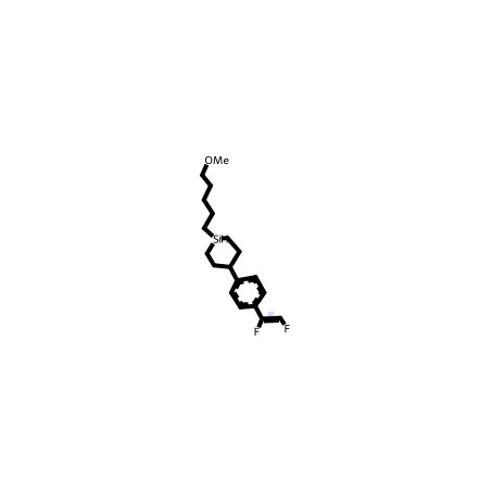 COCCCCC[SiH]1CCC(c2ccc(/C(F)=C/F)cc2)CC1